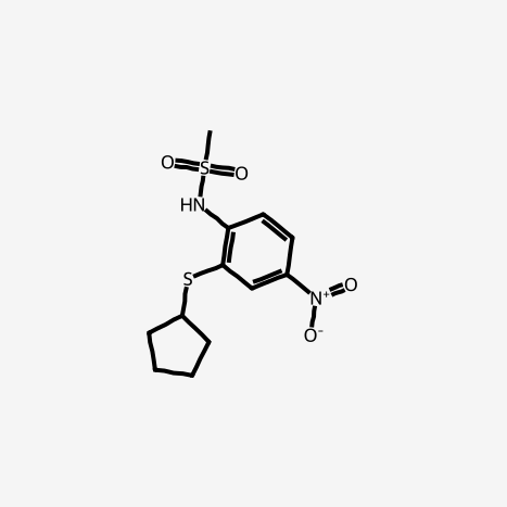 CS(=O)(=O)Nc1ccc([N+](=O)[O-])cc1SC1CCCC1